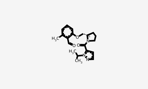 Cc1cccc(OC[C@@H]2CCCN2C(=O)c2ccnn2C(C)C)c1C=O